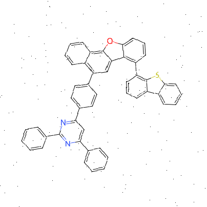 c1ccc(-c2cc(-c3ccc(-c4cc5c(oc6cccc(-c7cccc8c7sc7ccccc78)c65)c5ccccc45)cc3)nc(-c3ccccc3)n2)cc1